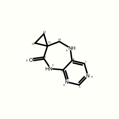 O=C1Nc2ncncc2NCC12CC2